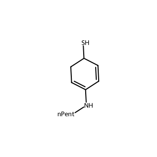 CCCCCNC1=CCC(S)C=C1